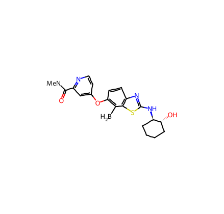 Bc1c(Oc2ccnc(C(=O)NC)c2)ccc2nc(N[C@@H]3CCCC[C@H]3O)sc12